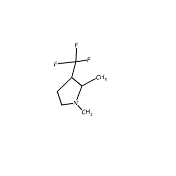 CC1C(C(F)(F)F)CCN1C